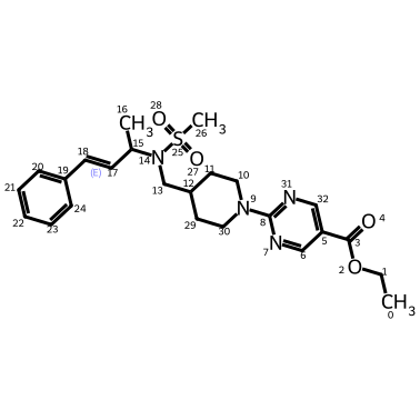 CCOC(=O)c1cnc(N2CCC(CN(C(C)/C=C/c3ccccc3)S(C)(=O)=O)CC2)nc1